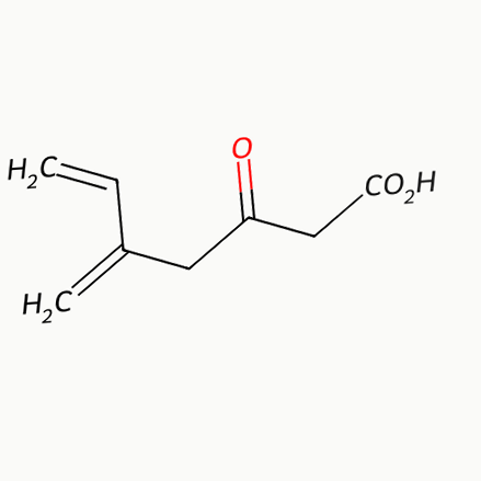 C=CC(=C)CC(=O)CC(=O)O